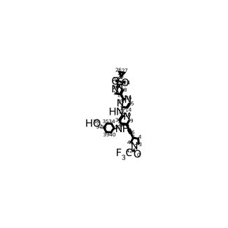 O=C(N1CCC(C#Cc2cnc(Nc3ccnc(-c4cnn(S(=O)(=O)C5CC5)c4)n3)cc2N[C@H]2CC[C@@H](CO)CC2)C1)C(F)(F)F